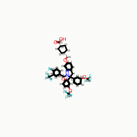 O=C(NC(Cc1ccc(OC[C@H]2CC[C@@H](C(=O)O)CC2)cc1)(c1cccc(OC(F)(F)F)c1)c1cccc(OC(F)(F)F)c1)c1ccc(F)c(C(F)(F)F)c1